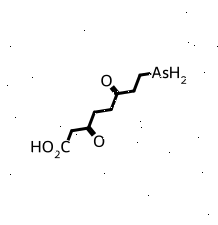 O=C(O)CC(=O)CCC(=O)CC[AsH2]